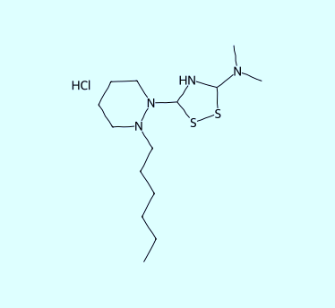 CCCCCCN1CCCCN1C1NC(N(C)C)SS1.Cl